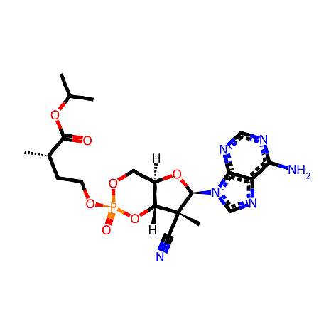 CC(C)OC(=O)[C@@H](C)CCO[P@@]1(=O)OC[C@H]2O[C@@H](n3cnc4c(N)ncnc43)[C@](C)(C#N)[C@@H]2O1